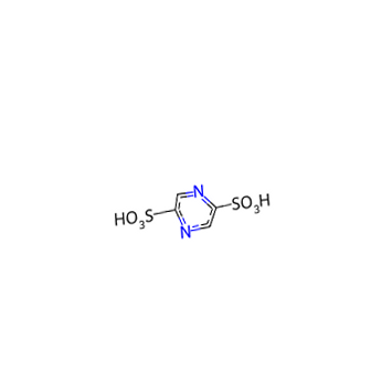 O=S(=O)(O)c1cnc(S(=O)(=O)O)cn1